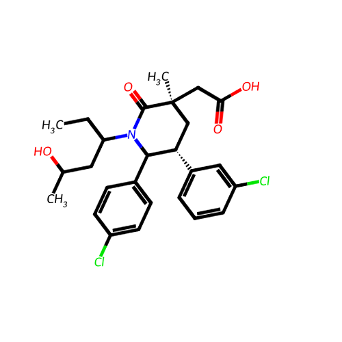 CCC(CC(C)O)N1C(=O)[C@@](C)(CC(=O)O)C[C@H](c2cccc(Cl)c2)C1c1ccc(Cl)cc1